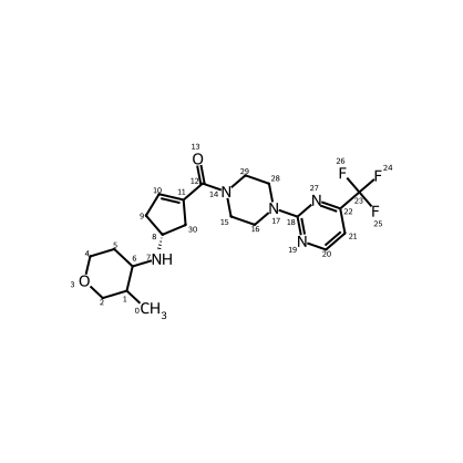 CC1COCCC1N[C@@H]1CC=C(C(=O)N2CCN(c3nccc(C(F)(F)F)n3)CC2)C1